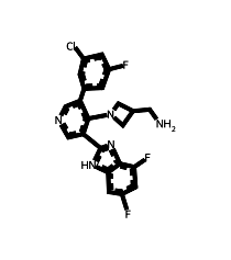 NCC1CN(c2c(-c3cc(F)cc(Cl)c3)cncc2-c2nc3c(F)cc(F)cc3[nH]2)C1